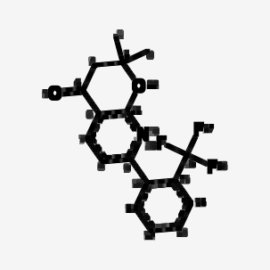 CC1(C)CC(=O)c2ccc(-c3ccccc3C(F)(F)F)nc2O1